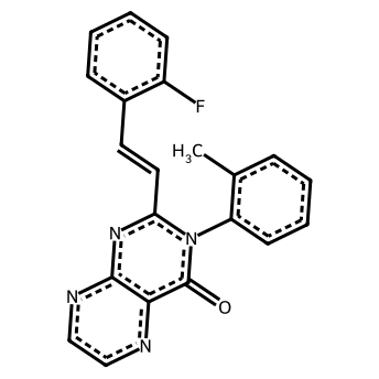 Cc1ccccc1-n1c(C=Cc2ccccc2F)nc2nccnc2c1=O